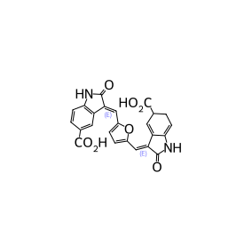 O=C1NC2=CCC(C(=O)O)C=C2/C1=C\c1ccc(/C=C2/C(=O)Nc3ccc(C(=O)O)cc32)o1